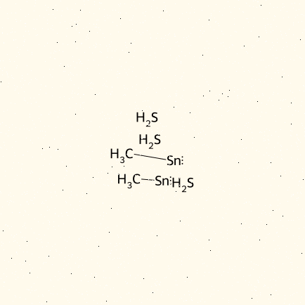 S.S.S.[CH3][Sn].[CH3][Sn]